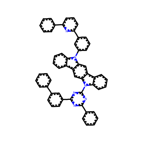 c1ccc(-c2cccc(-c3nc(-c4ccccc4)nc(-n4c5ccccc5c5cc6c(cc54)c4ccccc4n6-c4cccc(-c5cccc(-c6ccccc6)n5)c4)n3)c2)cc1